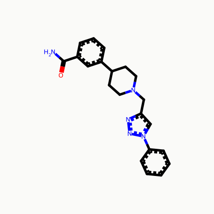 NC(=O)c1cccc(C2CCN(Cc3cn(-c4ccccc4)nn3)CC2)c1